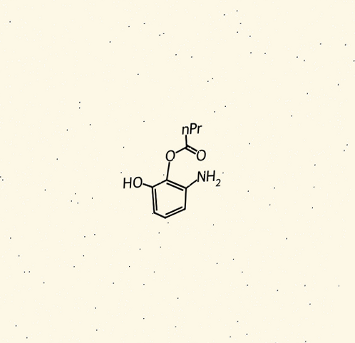 CCCC(=O)Oc1c(N)cccc1O